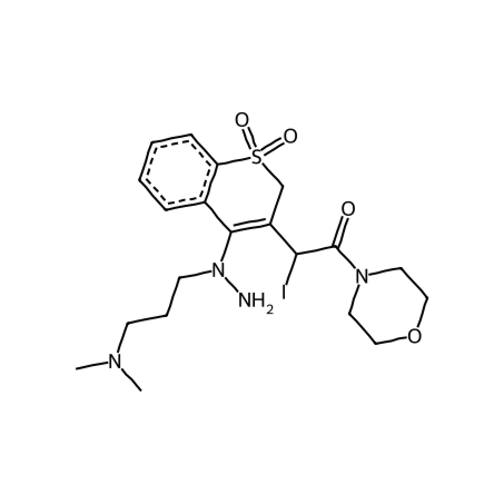 CN(C)CCCN(N)C1=C(C(I)C(=O)N2CCOCC2)CS(=O)(=O)c2ccccc21